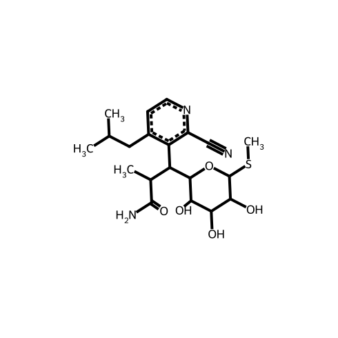 CSC1OC(C(c2c(CC(C)C)ccnc2C#N)C(C)C(N)=O)C(O)C(O)C1O